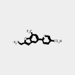 NCc1cc2cc(-c3ccc(C(=O)O)cn3)cc(C(F)(F)F)c2o1